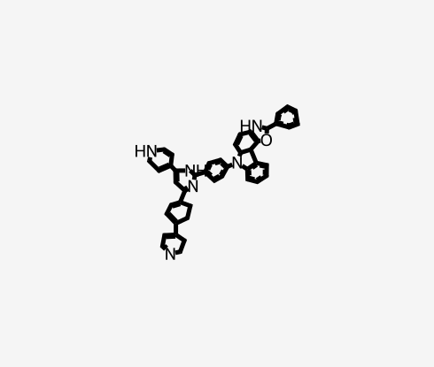 C1=CC(C2=CC(C3=CC=C(C4=CC=NCC4)CC3)=NC(c3ccc(N4c5ccccc5C5C6=C(C=CC54)NC(c4ccccc4)O6)cc3)N2)=CCN1